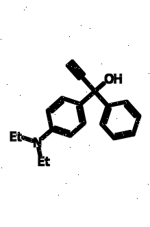 C#CC(O)(c1ccccc1)c1ccc(N(CC)CC)cc1